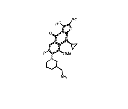 COc1c(N2CCCC(CN)C2)c(F)cc2c(=O)c3c(O)c(C(C)=O)sc3n(C3CC3)c12